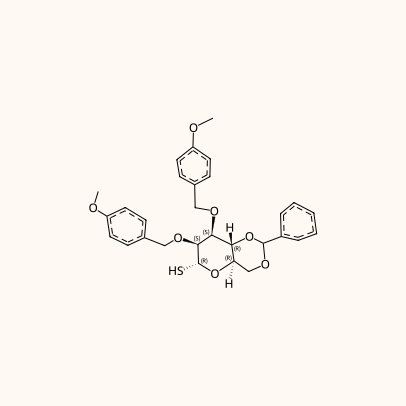 COc1ccc(CO[C@@H]2[C@H](OCc3ccc(OC)cc3)[C@@H](S)O[C@@H]3COC(c4ccccc4)O[C@@H]23)cc1